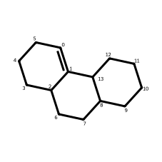 C1=C2C(CCC1)CCC1CCCCC21